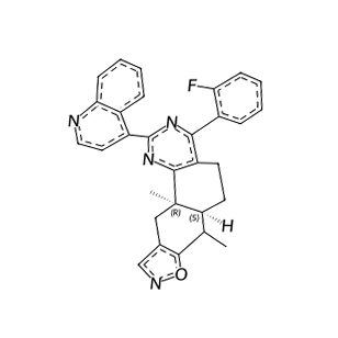 CC1c2oncc2C[C@@]2(C)c3nc(-c4ccnc5ccccc45)nc(-c4ccccc4F)c3CC[C@@H]12